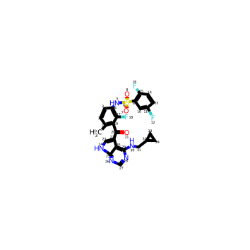 Cc1ccc(NS(=O)(=O)c2cc(F)ccc2F)c(F)c1C(=O)c1c[nH]c2ncnc(NCC3CC3)c12